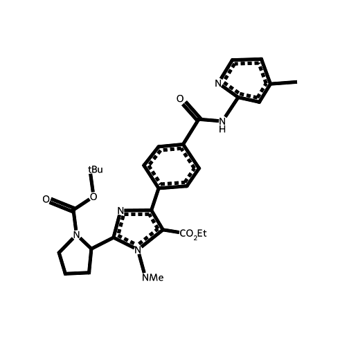 CCOC(=O)c1c(-c2ccc(C(=O)Nc3cc(C)ccn3)cc2)nc(C2CCCN2C(=O)OC(C)(C)C)n1NC